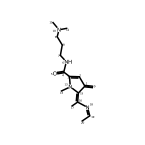 C=c1cc(C(=O)NCCCN(C)C)n(C)/c1=C(C)/N=C\C